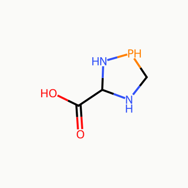 O=C(O)C1NCPN1